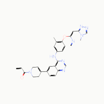 C=CC(=O)N1CC=C(c2ccc3ncnc(Nc4ccc(O/C(=C/c5nncn5C)N=C)c(C)c4)c3c2)CC1